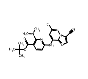 CN(C)c1nc(Nc2cc(Cl)nn3c(C#N)cnc23)ccc1C(=O)OC(C)(C)C